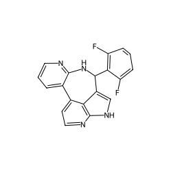 Fc1cccc(F)c1C1Nc2ncccc2-c2ccnc3[nH]cc1c23